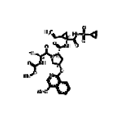 C=CC1C[C@]1(NC(=O)[C@@H]1C[C@@H](Oc2ncc(OC)c3ccccc23)CN1C(=O)[C@@H](NC(=O)OC(C)(C)C)C(C)(C)C)C(=O)NS(=O)(=O)C1CC1